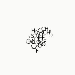 CC(C)(C)OC(=O)NC1=N[C@]2(c3ccc(F)c(OS(=O)(=O)C(F)(F)F)c3)CCCC2CS1